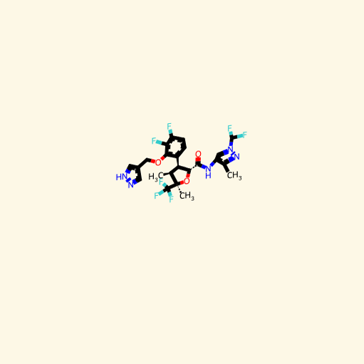 Cc1nn(C(F)F)cc1NC(=O)[C@@H]1O[C@@](C)(C(F)(F)F)[C@@H](C)[C@H]1c1ccc(F)c(F)c1OCc1cn[nH]c1